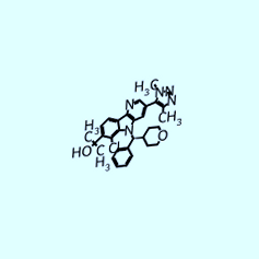 Cc1nnn(C)c1-c1cnc2c3ccc(C(C)(C)O)c(Cl)c3n([C@H](c3ccccc3)C3CCOCC3)c2c1